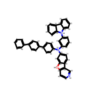 c1ccc(-c2ccc(-c3ccc(N(c4cccc(-n5c6ccccc6c6ccccc65)c4)c4ccc5c(c4)oc4ccncc45)cc3)cc2)cc1